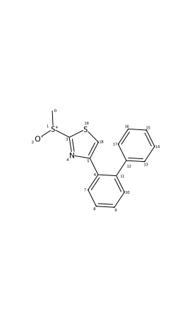 C[S+]([O-])c1nc(-c2ccccc2-c2ccccc2)cs1